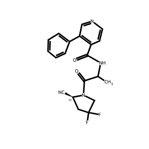 CC(NC(=O)c1ccncc1-c1ccccc1)C(=O)N1CC(F)(F)C[C@H]1C#N